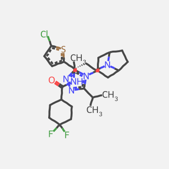 Cc1nnc(C(C)C)n1C1CC2CCC(C1)N2CC[C@H](NC(=O)C1CCC(F)(F)CC1)c1ccc(Cl)s1